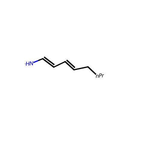 CCCC/C=C/C=C/[NH]